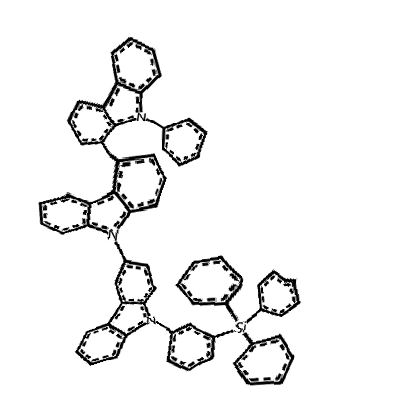 c1ccc(-n2c3ccccc3c3cccc(-c4cccc5c4c4ccccc4n5-c4ccc5c(c4)c4ccccc4n5-c4cccc([Si](c5ccccc5)(c5ccccc5)c5ccccc5)c4)c32)cc1